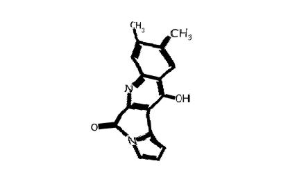 Cc1cc2nc3c(c(O)c2cc1C)-c1cccn1C3=O